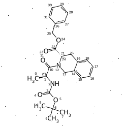 C[C@H](NC(=O)OC(C)(C)C)C(=O)N1Cc2ccccc2C[C@H]1C(=O)OCc1ccccc1